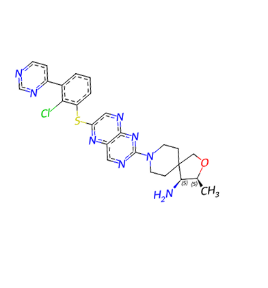 C[C@@H]1OCC2(CCN(c3ncc4nc(Sc5cccc(-c6ccncn6)c5Cl)cnc4n3)CC2)[C@@H]1N